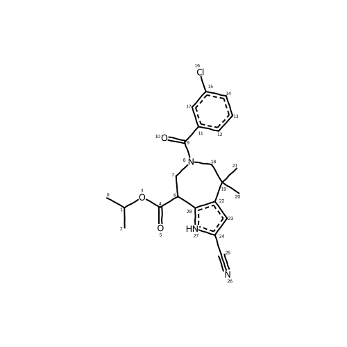 CC(C)OC(=O)C1CN(C(=O)c2cccc(Cl)c2)CC(C)(C)c2cc(C#N)[nH]c21